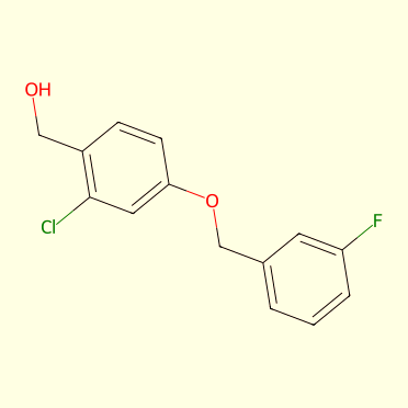 OCc1ccc(OCc2cccc(F)c2)cc1Cl